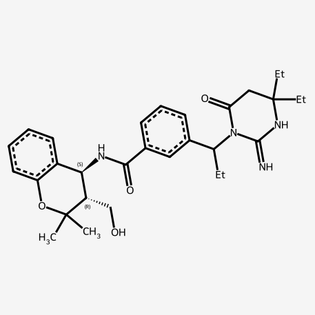 CCC(c1cccc(C(=O)N[C@@H]2c3ccccc3OC(C)(C)[C@H]2CO)c1)N1C(=N)NC(CC)(CC)CC1=O